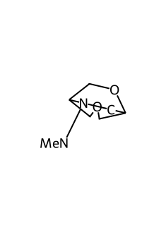 CNN1CC2COCC1CO2